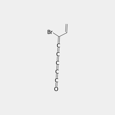 C=CC(Br)=C=C=C=C=C=O